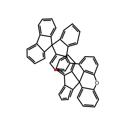 c1ccc2c(c1)Oc1cccc(-c3cccc4c3-c3ccccc3C43c4ccccc4-c4ccccc43)c1C21c2ccccc2-c2ccccc21